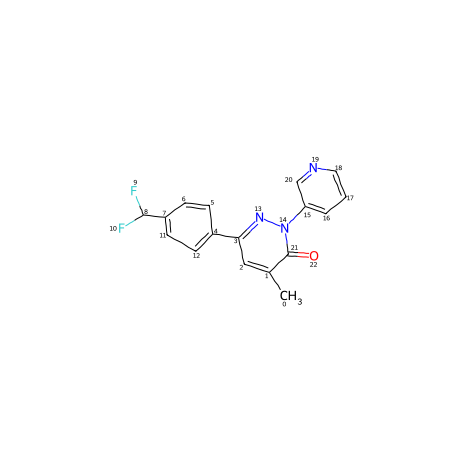 Cc1cc(-c2ccc(C(F)F)cc2)nn(-c2cccnc2)c1=O